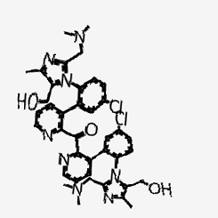 Cc1nc(CN(C)C)n(-c2ccc(Cl)cc2-c2cccnc2C(=O)c2ncccc2-c2cc(Cl)ccc2-n2c(CN(C)C)nc(C)c2CO)c1CO